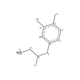 Cc1ccc(CC(C)CS)cc1C